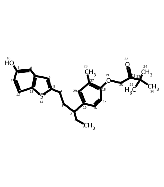 CCC(CCc1cc2cc(O)ccc2s1)c1ccc(OCC(=O)C(C)(C)C)c(C)c1